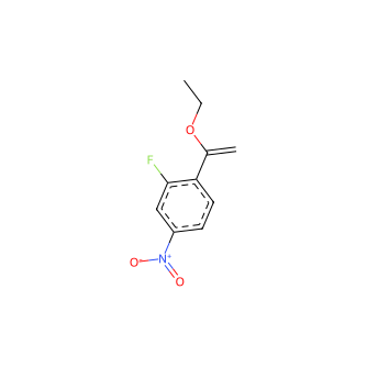 C=C(OCC)c1ccc([N+](=O)[O-])cc1F